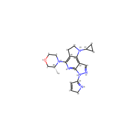 C[C@@H]1COCCN1c1nc2c(cnn2C2=NCC=C2)c2c1CCN2C1CC1